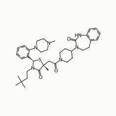 CN1CCN(c2ccccc2[C@H]2S[C@](C)(CC(=O)N3CCC(N4CCc5ccccc5NC4=O)CC3)C(=O)N2CCC(C)(C)C)CC1